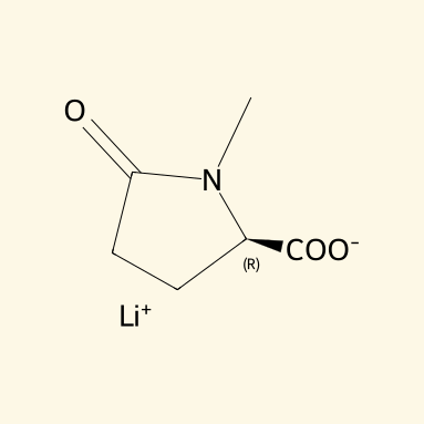 CN1C(=O)CC[C@@H]1C(=O)[O-].[Li+]